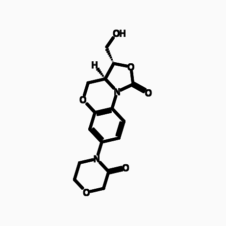 O=C1COCCN1c1ccc2c(c1)OC[C@H]1[C@H](CO)OC(=O)N21